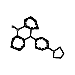 CCN1c2ccccc2C(c2ccc(N3CCCC3)cc2)c2ccccc21